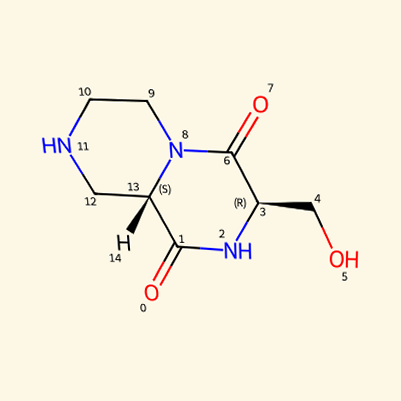 O=C1N[C@H](CO)C(=O)N2CCNC[C@@H]12